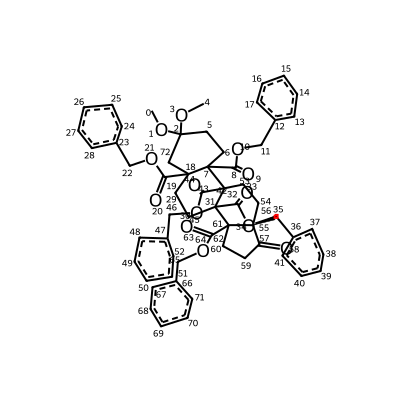 COC1(OC)CCC2(C(=O)OCc3ccccc3)C(C(=O)OCc3ccccc3)(CCC3(C(=O)OCc4ccccc4)C2(C(=O)OCc2ccccc2)CC[C@]2(C)C(=O)CCC32C(=O)OCc2ccccc2)C1